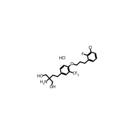 Cl.NC(CO)(CO)CCc1ccc(OCCCc2cccc(Cl)c2F)c(C(F)(F)F)c1